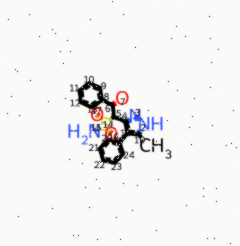 Cc1[nH]nc(C(C(=O)c2ccccc2)S(N)(=O)=O)c1-c1ccccc1